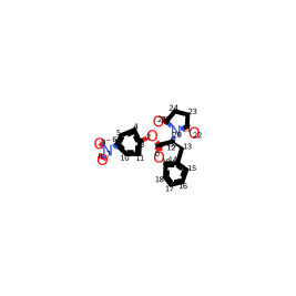 O=C(Oc1ccc([N+](=O)[O-])cc1)[C@H](Cc1ccccc1)N1C(=O)CCC1=O